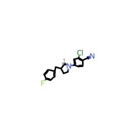 C[C@H]1C(Cc2ccc(F)cc2)CCN1c1ccc(C#N)c(Cl)c1